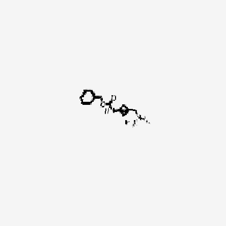 CC(=O)N(C)CC12CC(NC(=O)OCc3ccccc3)(C1)C2